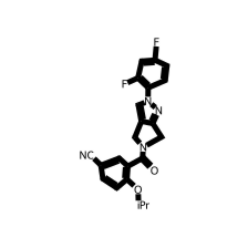 CC(C)Oc1ccc(C#N)cc1C(=O)N1Cc2cn(-c3ccc(F)cc3F)nc2C1